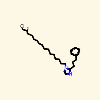 CCCCCCCCCCCCCCCCCn1ccnc1CCCc1ccccc1